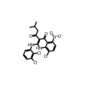 CC(C)CC(=O)c1c(Nc2cccc(Cl)c2Cl)[nH]c2c(Cl)ccc([N+](=O)[O-])c2c1=O